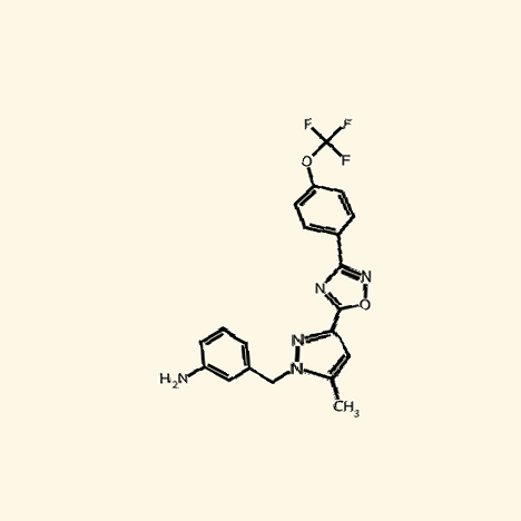 Cc1cc(-c2nc(-c3ccc(OC(F)(F)F)cc3)no2)nn1Cc1cccc(N)c1